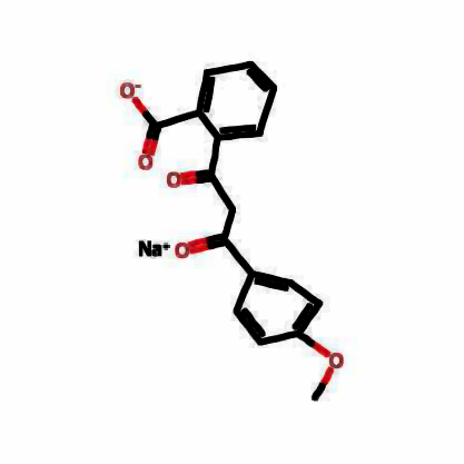 COc1ccc(C(=O)CC(=O)c2ccccc2C(=O)[O-])cc1.[Na+]